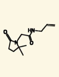 C=CCNC(=O)CN1C(=O)CCC1(C)C